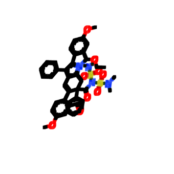 CCOC1c2cc(OC)ccc2-c2c(-c3ccccc3)c3c(n21)CC(C(=O)N(S(=O)(=O)N(C)C)S(=O)(=O)N(C)C)(c1ccccc1)C(c1ccc(OC)cc1C=O)=C3